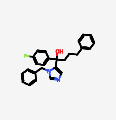 OC(CCCc1ccccc1)(c1ccc(F)cc1)c1cncn1Cc1ccccc1